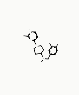 CN(Cc1ccc(Cl)c(Cl)c1)C1CCN(c2ccnc(O)n2)CC1